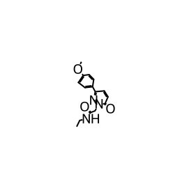 CCNC(=O)Cn1nc(-c2ccc(OC)cc2)ccc1=O